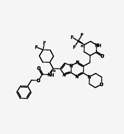 O=C(N[C@H](c1cn2nc(CC3C[C@@H](C(F)(F)F)CNC3=O)c(N3CCOCC3)nc2n1)C1CCC(F)(F)CC1)OCc1ccccc1